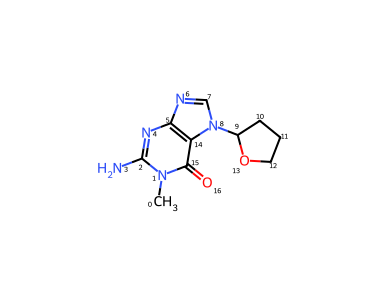 Cn1c(N)nc2ncn(C3CCCO3)c2c1=O